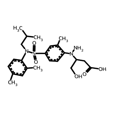 Cc1ccc(N(CC(C)C)S(=O)(=O)c2ccc(N(N)C(CO)CC(=O)O)c(C)c2)c(C)c1